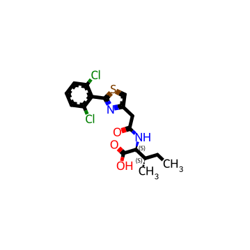 CC[C@H](C)[C@H](NC(=O)Cc1csc(-c2c(Cl)cccc2Cl)n1)C(=O)O